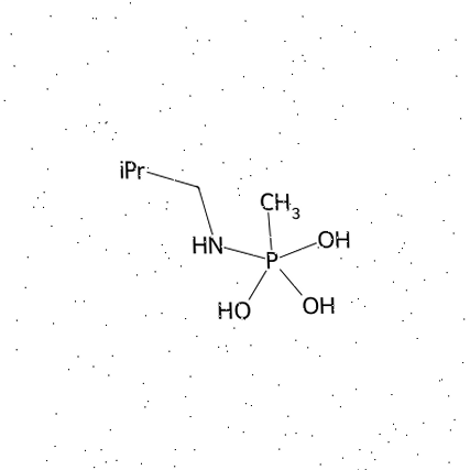 CC(C)CNP(C)(O)(O)O